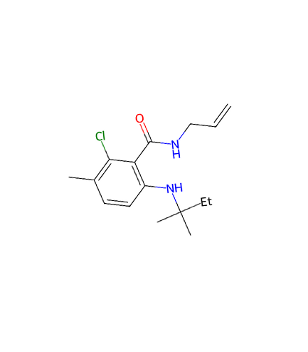 C=CCNC(=O)c1c(NC(C)(C)CC)ccc(C)c1Cl